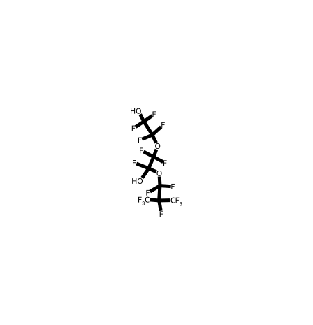 OC(F)(F)C(F)(F)OC(F)(F)C(O)(F)OC(F)(F)C(F)(C(F)(F)F)C(F)(F)F